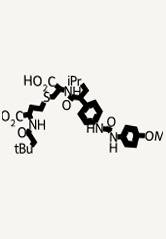 COc1ccc(NC(=O)Nc2ccc(C(CC(C)C)C(=O)NC(CSCCC(NC(=O)CC(C)(C)C)C(=O)O)C(=O)O)cc2)cc1